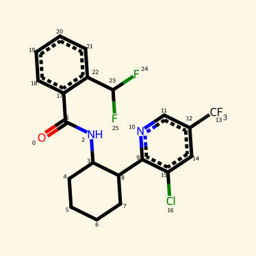 O=C(NC1CCCCC1c1ncc(C(F)(F)F)cc1Cl)c1ccccc1C(F)F